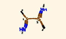 CS(=N)S(C)=N